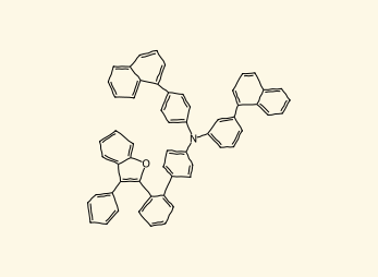 c1ccc(-c2c(-c3ccccc3-c3ccc(N(c4ccc(-c5cccc6ccccc56)cc4)c4cccc(-c5cccc6ccccc56)c4)cc3)oc3ccccc23)cc1